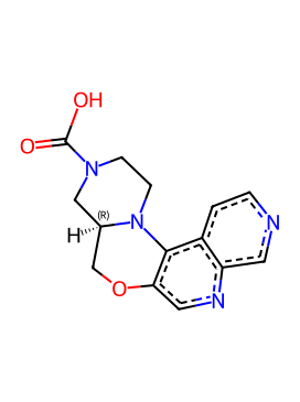 O=C(O)N1CCN2c3c(cnc4cnccc34)OC[C@H]2C1